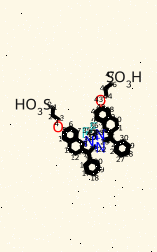 O=S(=O)(O)CCCOc1ccc2c(c1)CCC1=C(c3ccccc3)C3=Nc4c(-c5ccccc5)c5c(n4[B-](F)(F)[N+]3=C12)-c1ccc(OCCCS(=O)(=O)O)cc1CC5